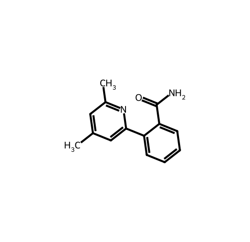 Cc1cc(C)nc(-c2ccccc2C(N)=O)c1